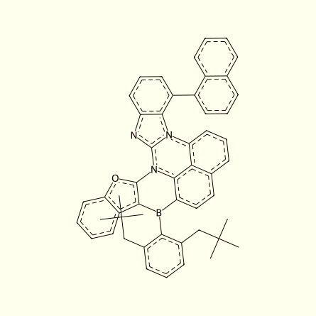 CC(C)(C)Cc1cccc(CC(C)(C)C)c1B1c2c(oc3ccccc23)-n2c3c1ccc1cccc(c13)n1c3c(-c4cccc5ccccc45)cccc3nc21